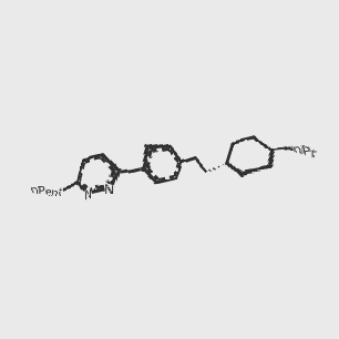 CCCCCc1ccc(-c2ccc(CC[C@H]3CC[C@H](CCC)CC3)cc2)nn1